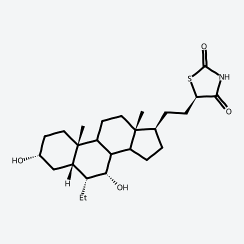 CC[C@H]1[C@@H](O)C2C3CC[C@H](CC[C@H]4SC(=O)NC4=O)[C@@]3(C)CCC2[C@@]2(C)CC[C@@H](O)C[C@@H]12